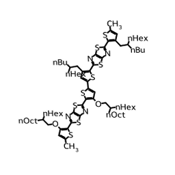 CCCCCCCCC(CCCCCC)COc1cc(C)sc1-c1nc2sc(-c3sc(-c4cc(CC(CCCC)CCCCCC)c(-c5nc6sc(-c7sc(C)cc7CC(CCCC)CCCCCC)nc6s5)s4)cc3OCC(CCCCCC)CCCCCCCC)nc2s1